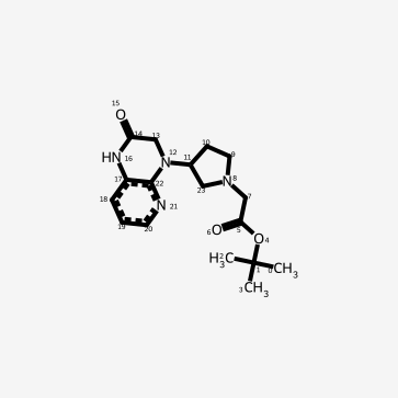 CC(C)(C)OC(=O)CN1CCC(N2CC(=O)Nc3cccnc32)C1